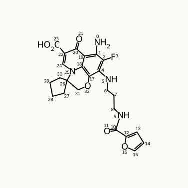 Nc1c(F)c(NCCCNC(=O)c2ccco2)c2c3c1c(=O)c(C(=O)O)cn3C1(CCCC1)CO2